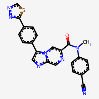 CN(C(=O)c1cn2c(-c3ccc(-c4nncs4)cc3)cnc2cn1)c1ccc(C#N)cc1